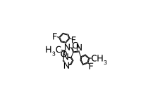 CC(=O)N(c1cc(F)ccc1F)c1onc(-c2ccc(F)c(C)c2)c1-c1ccncn1